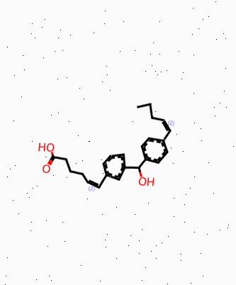 CCC/C=C\c1ccc(C(O)c2cccc(/C=C\CCCC(=O)O)c2)cc1